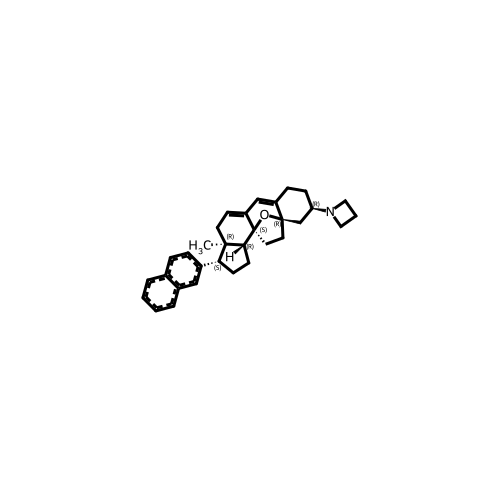 C[C@]12CC=C3C=C4CC[C@@H](N5CCC5)C[C@]45CC[C@]3(O5)[C@@H]1CC[C@@H]2c1ccc2ccccc2c1